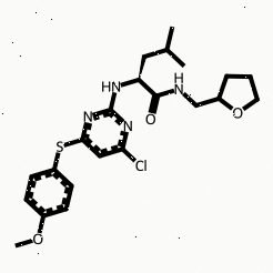 COc1ccc(Sc2cc(Cl)nc(N[C@@H](CC(C)C)C(=O)NCC3CCCO3)n2)cc1